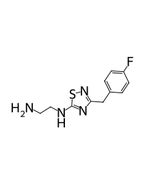 NCCNc1nc(Cc2ccc(F)cc2)ns1